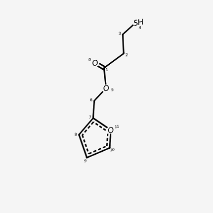 O=C(CCS)OCc1ccco1